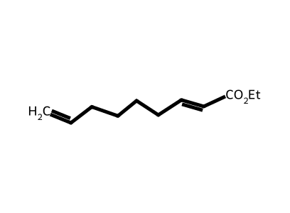 C=CCCCC/C=C/C(=O)OCC